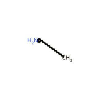 CCCCCCCCCCCCCCCCCCCCc1ccc(N)cc1